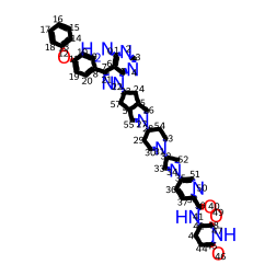 Nc1ncnc2c1c(-c1ccc(Oc3ccccc3)cc1)nn2C1CC2CN(C3CCN(C4CN(c5ccc(C(=O)NC6CCC(=O)NC6=O)nc5)C4)CC3)CC2C1